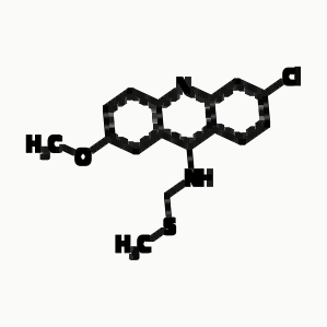 COc1ccc2nc3cc(Cl)ccc3c(NCSC)c2c1